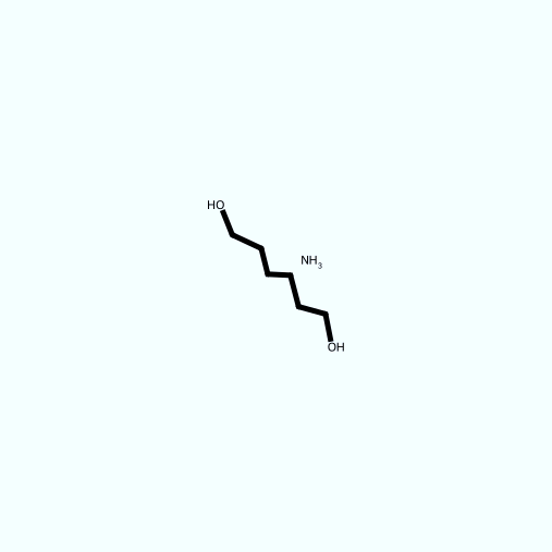 N.OCCCCCCO